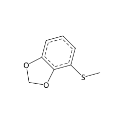 CSc1cccc2c1OCO2